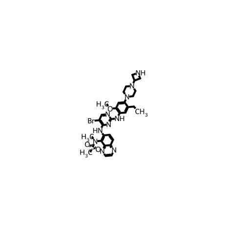 CCc1cc(Nc2ncc(Br)c(Nc3ccc4nccnc4c3N(C)S(C)(=O)=O)n2)c(OC)cc1N1CCN(C2CNC2)CC1